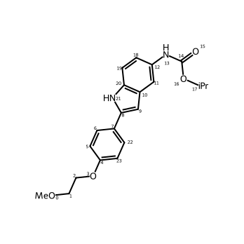 COCCOc1ccc(-c2cc3cc(NC(=O)OC(C)C)ccc3[nH]2)cc1